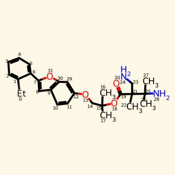 CCc1ccccc1-c1cc2ccc(OCC(C)(C)OC(=O)C(C)(CN)C(C)(C)N)cc2o1